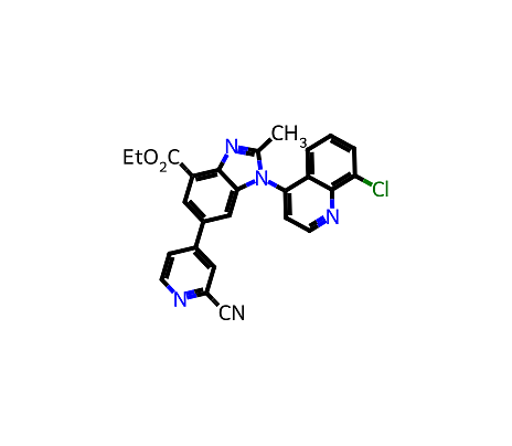 CCOC(=O)c1cc(-c2ccnc(C#N)c2)cc2c1nc(C)n2-c1ccnc2c(Cl)cccc12